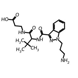 CC(C)(C)C(NC(=O)c1nn(CCCN)c2ccccc12)C(=O)NCCC(=O)O